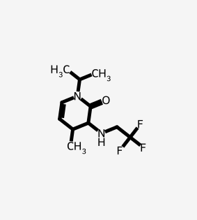 CC1C=CN(C(C)C)C(=O)C1NCC(F)(F)F